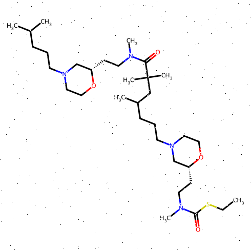 CCSC(=O)N(C)CC[C@@H]1CN(CCCC(C)CC(C)(C)C(=O)N(C)CC[C@H]2CN(CCCC(C)C)CCO2)CCO1